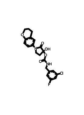 O=C(NCc1cc(F)cc(Cl)c1)O[C@]1(O)CCN(c2ccc3c(c2)CCCO3)C1=O